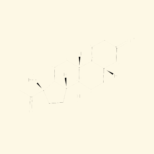 CC(=O)[C@@]1(O)CC[C@H]2[C@@H]3CC[C@H]4CC(=O)CC[C@]4(C)[C@H]3CC[C@@]21C